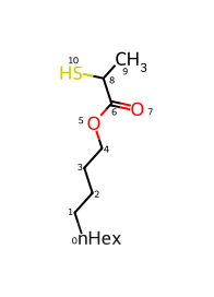 CCCCCCCCCCOC(=O)C(C)S